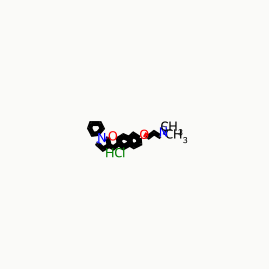 CN(C)CCCOc1ccc2cc(CC3CCN(C4CCCCC4)C3=O)ccc2c1.Cl